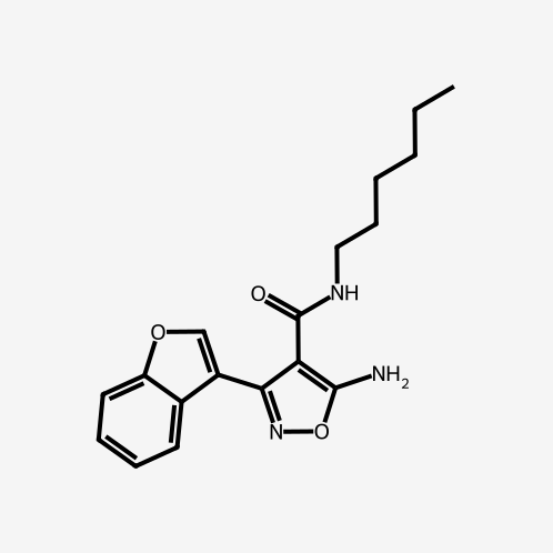 CCCCCCNC(=O)c1c(-c2coc3ccccc23)noc1N